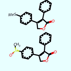 CSc1ccc(C2=C(c3ccccc3)C(=O)OC2)cc1.C[S+]([O-])c1ccc(C2=C(c3ccccc3)C(=O)OC2)cc1